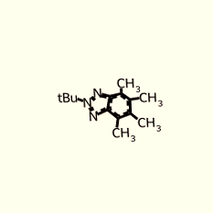 Cc1c(C)c(C)c2nn(C(C)(C)C)nc2c1C